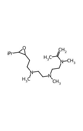 C=C(C)N(C)CCN(C)CCN(C)CCC1OC1C(C)C